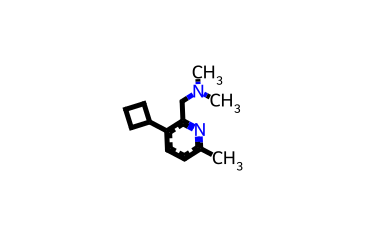 Cc1ccc(C2CCC2)c(CN(C)C)n1